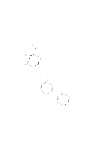 Cn1c(N)nc([C@H]2C[C@H]2c2cccc(-c3ccc(CCO)cc3)c2)cc1=O